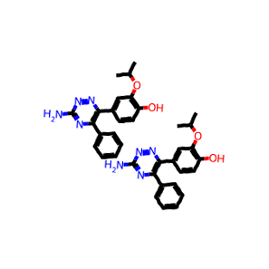 CC(C)Oc1cc(-c2nnc(N)nc2-c2ccccc2)ccc1O.CC(C)Oc1cc(-c2nnc(N)nc2-c2ccccc2)ccc1O